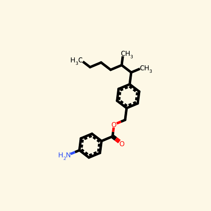 CCCCC(C)C(C)c1ccc(COC(=O)c2ccc(N)cc2)cc1